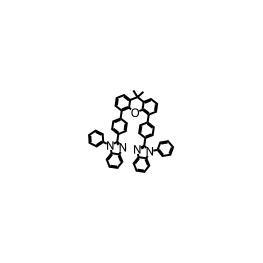 CC1(C)c2cccc(-c3ccc(-c4nc5ccccc5n4-c4ccccc4)cc3)c2Oc2c(-c3ccc(-c4nc5ccccc5n4-c4ccccc4)cc3)cccc21